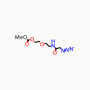 COC(=O)OCCOCCNC(=O)CN=[N+]=[N-]